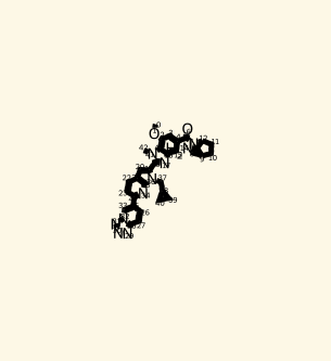 COc1cc(C(=O)N2CC3CCC2C3N)cc2nc(-c3cc4ccc(-c5ccc6nnnn6c5)nc4n3CC3CC3)n(C)c12